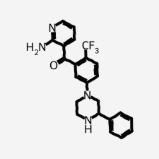 Nc1ncccc1C(=O)c1cc(N2CCNC(c3ccccc3)C2)ccc1C(F)(F)F